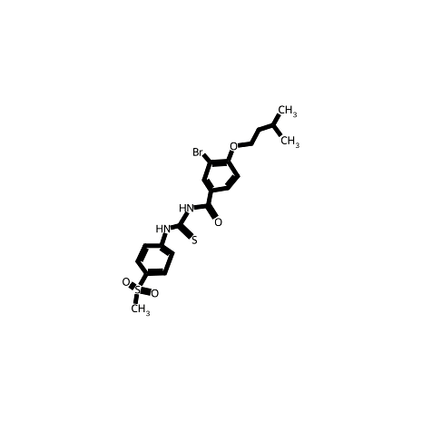 CC(C)CCOc1ccc(C(=O)NC(=S)Nc2ccc(S(C)(=O)=O)cc2)cc1Br